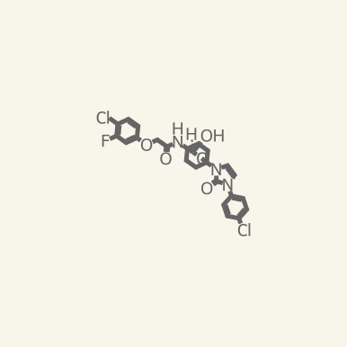 O=C(COc1ccc(Cl)c(F)c1)NC12CCC(n3ccn(-c4ccc(Cl)cc4)c3=O)(CC1)C[C@@H]2O